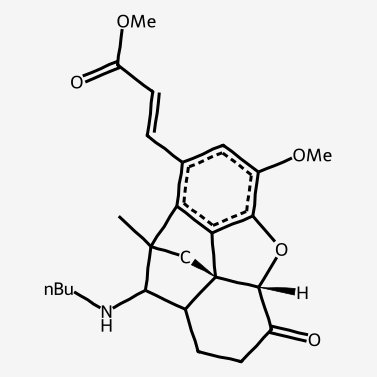 CCCCNC1C2CCC(=O)[C@H]3Oc4c(OC)cc(/C=C/C(=O)OC)c5c4[C@@]23CC51C